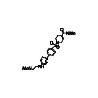 CNCCNc1ccc(-c2ccc(S(=O)(=O)N3CC=C(C(=O)NC)CC3)cc2)cc1